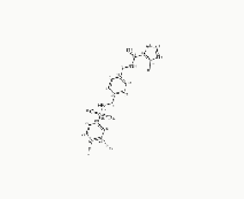 Cc1nnsc1C(=O)NCc1ccc(CNS(=O)(=O)c2ccc(F)c(F)c2)cc1